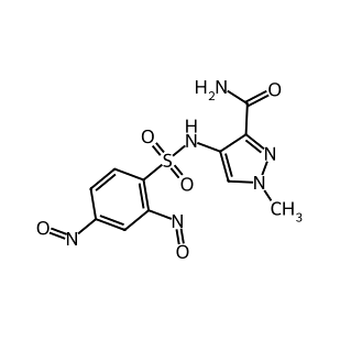 Cn1cc(NS(=O)(=O)c2ccc(N=O)cc2N=O)c(C(N)=O)n1